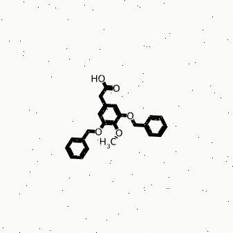 COc1c(OCc2ccccc2)cc(CC(=O)O)cc1OCc1ccccc1